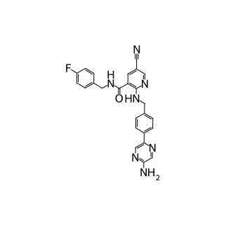 N#Cc1cnc(NCc2ccc(-c3cnc(N)cn3)cc2)c(C(=O)NCc2ccc(F)cc2)c1